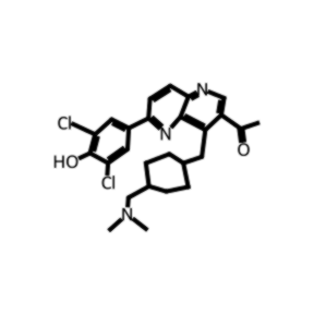 CC(=O)c1cnc2ccc(-c3cc(Cl)c(O)c(Cl)c3)nc2c1CC1CCC(CN(C)C)CC1